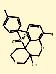 O=S(=O)(c1ccc(Cl)cc1)C12CCOCC1(O)COc1c(F)ccc(F)c12